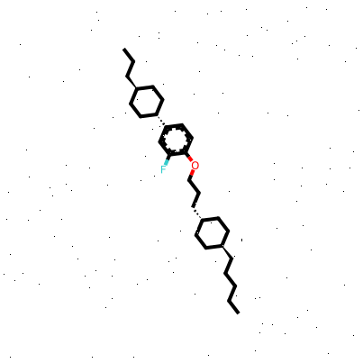 CCCCC[C@H]1CC[C@H](CCCOc2ccc([C@H]3CC[C@H](CCC)CC3)cc2F)CC1